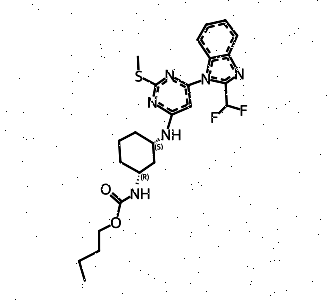 CCCCOC(=O)N[C@@H]1CCC[C@H](Nc2cc(-n3c(C(F)F)nc4ccccc43)nc(SC)n2)C1